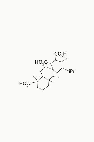 CC(C)C1CC2(CCC3C(C)(C(=O)O)CCCC3(C)C2C)C(C(=O)O)C(C(=O)O)C1C